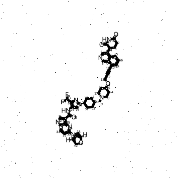 O=C1CCC(c2cncc3c(C#CCOC4CCN(C[C@H]5CC[C@H](n6cc(NC(=O)c7cnn8ccc(N9C[C@H]%10C[C@@H]9CO%10)nc78)c(C(F)F)n6)CC5)CC4)cccc23)C(=O)N1